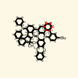 CC(C)(C)c1ccc(N2c3cc4c(cc3B3c5c(cc6ccccc6c52)-c2ccc(N(c5ccccc5)c5ccccc5)c5c6c(n3c25)C(C)(C)c2ccccc2-6)Sc2ccccc2O4)c(-c2ccccc2)c1